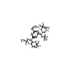 CCCCOc1nc(N(CC(C)(C)CC)C2CCNC(C)(C)C2)nc(N(CC(C)(C)CC)C2CCNC(C)(C)C2)n1